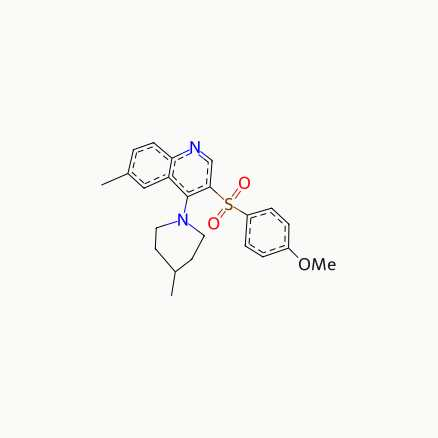 COc1ccc(S(=O)(=O)c2cnc3ccc(C)cc3c2N2CCC(C)CC2)cc1